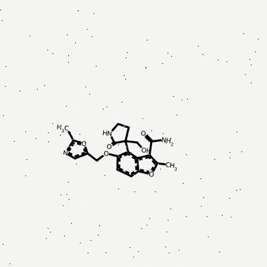 Cc1ncc(COc2ccc3oc(C)c(C(N)=O)c3c2C2(CO)CCNC2=O)o1